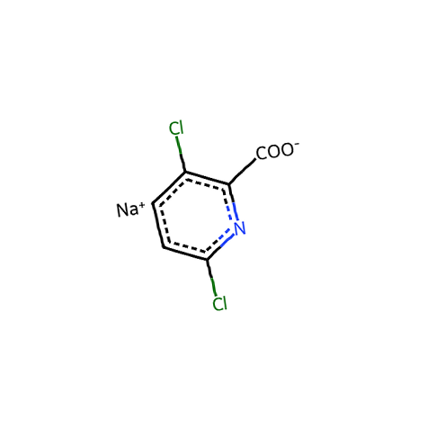 O=C([O-])c1nc(Cl)ccc1Cl.[Na+]